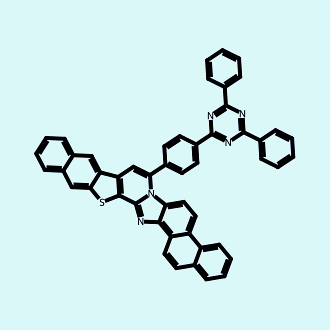 c1ccc(-c2nc(-c3ccccc3)nc(-c3ccc(-c4cc5c6cc7ccccc7cc6sc5c5nc6c7ccc8ccccc8c7ccc6n45)cc3)n2)cc1